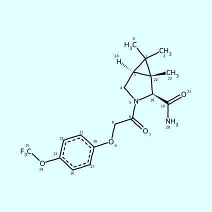 CC1(C)[C@@H]2CN(C(=O)COc3ccc(OC(F)(F)F)cc3)[C@H](C(N)=O)[C@]21C